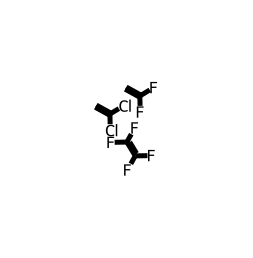 C=C(Cl)Cl.C=C(F)F.FC(F)=C(F)F